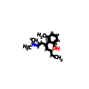 CCC/C=C(/CCN(C)C)c1c(C)cccc1O